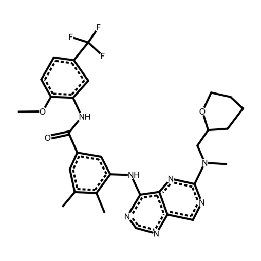 COc1ccc(C(F)(F)F)cc1NC(=O)c1cc(C)c(C)c(Nc2ncnc3cnc(N(C)CC4CCCCO4)nc23)c1